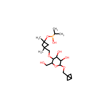 CC(C)P(O)OC1(C)CC(C)(COC2C(CO)OC(OCC34CC3C4)C(O)C2O)C1